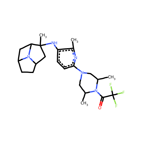 Cc1nc(N2CC(C)N(C(=O)C(F)(F)F)C(C)C2)ccc1NC1(C)CC2CCC3CC1N32